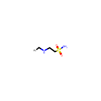 CC(=O)CNCCS(N)(=O)=O